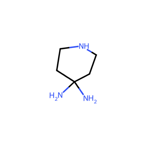 NC1(N)CCNCC1